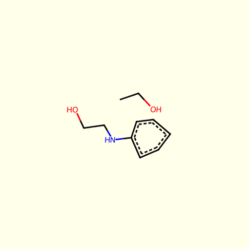 CCO.OCCNc1ccccc1